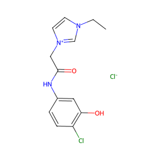 CCn1cc[n+](CC(=O)Nc2ccc(Cl)c(O)c2)c1.[Cl-]